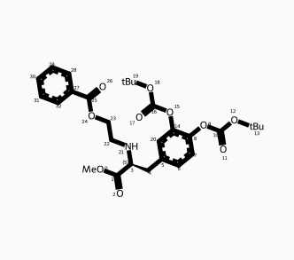 COC(=O)[C@H](Cc1ccc(OC(=O)OC(C)(C)C)c(OC(=O)OC(C)(C)C)c1)NCCOC(=O)c1ccccc1